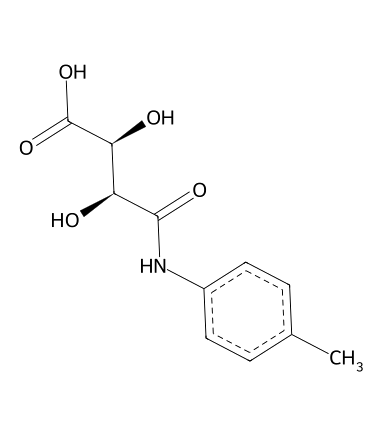 Cc1ccc(NC(=O)[C@@H](O)[C@H](O)C(=O)O)cc1